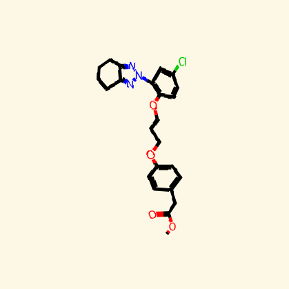 COC(=O)Cc1ccc(OCCCOc2ccc(Cl)cc2-n2nc3c(n2)CCCC3)cc1